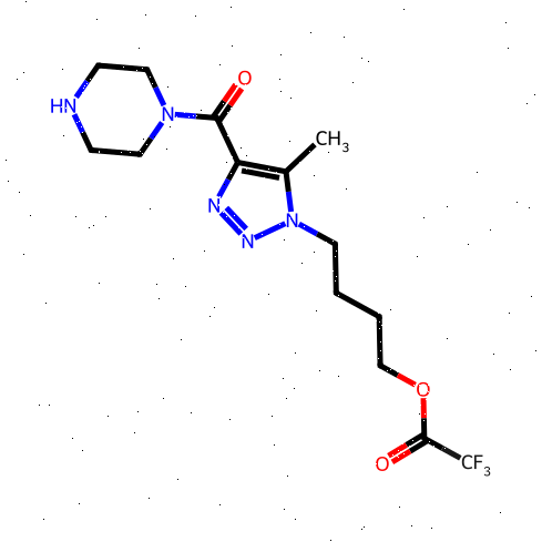 Cc1c(C(=O)N2CCNCC2)nnn1CCCCOC(=O)C(F)(F)F